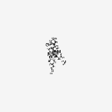 CCCCC1=CCC(N)(Nc2c(C(=O)O[C@H]3CC[C@H](CCCC)CC3)ccc3c2C(=O)c2ccccc2C3=O)C=C1